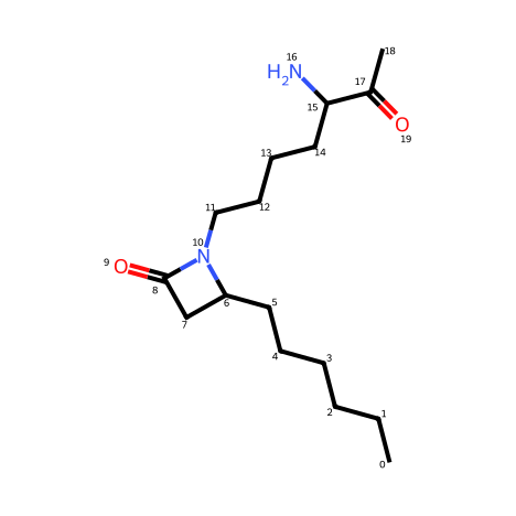 CCCCCCC1CC(=O)N1CCCCC(N)C(C)=O